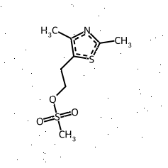 Cc1nc(C)c(CCOS(C)(=O)=O)s1